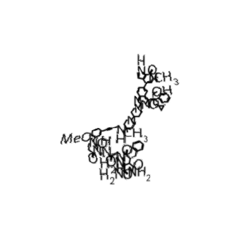 COc1ccc(C#CCNC2(C)CCN(C3CCN(c4nc([C@@](CO)(OC5CC5)c5ccccc5)c5cc(-c6cn(C)c(=O)c7[nH]ccc67)ccc5n4)CC3)CC2)cc1N1CCC(=O)N(CNC(=O)CNC(=O)[C@@H](Cc2ccccc2)C(C(N)=O)C(N)C(N)=O)C1=O